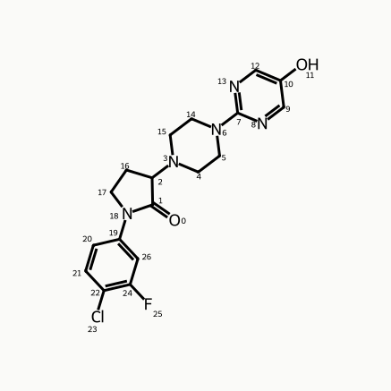 O=C1C(N2CCN(c3ncc(O)cn3)CC2)CCN1c1ccc(Cl)c(F)c1